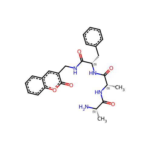 C[C@H](N)C(=O)N[C@@H](C)C(=O)N[C@@H](Cc1ccccc1)C(=O)NCc1cc2ccccc2oc1=O